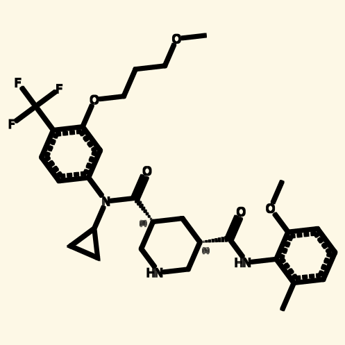 COCCCOc1cc(N(C(=O)[C@H]2CNC[C@@H](C(=O)Nc3c(C)cccc3OC)C2)C2CC2)ccc1C(F)(F)F